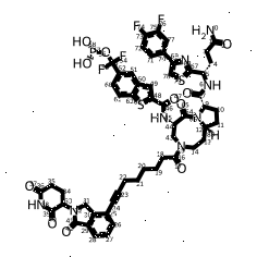 NC(=O)CC[C@H](NC(=O)[C@@H]1CC[C@@H]2CCN(C(=O)CCCCCC#Cc3cccc4c3CN(C3CCC(=O)NC3=O)C4=O)C[C@H](NC(=O)c3cc4cc(C(F)(F)OP(O)O)ccc4s3)C(=O)N21)c1nc(-c2ccc(F)c(F)c2)cs1